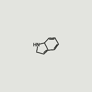 C1=CC2=CCNC2C=C1